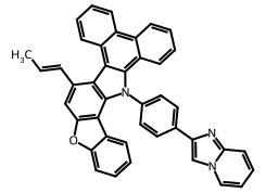 C/C=C/c1cc2oc3ccccc3c2c2c1c1c3ccccc3c3ccccc3c1n2-c1ccc(-c2cn3ccccc3n2)cc1